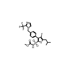 COC(=O)NS(=O)(=O)c1sc(CC(C)C)c(F)c1-c1ccc(Cn2ccnc2C(F)(F)F)cc1